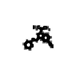 CC(C)N1CC(COC2CCCCO2)c2cc(C#N)ccc21